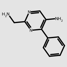 NCc1ncc(N)c(-c2ccccc2)n1